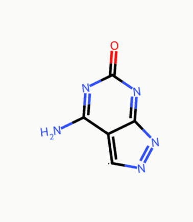 NC1=NC(=O)N=C2N=N[C]=C12